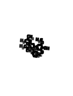 COc1cc(C(CP(=O)(OC(C)C)OC(C)C)Nc2cccnc2)cc(OC)c1O